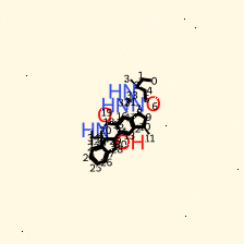 CC[C@]1(C)CC(=O)N([C@@H]2C[C@@H](C)c3cc4c(cc32)C(=O)N[C@@H]2c3ccccc3C[C@@]42O)C(=N)N1